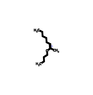 CCCCC/C=C(/C)OCCCC